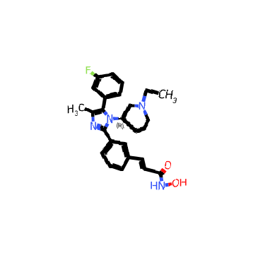 CCN1CCC[C@@H](n2c(-c3cccc(C=CC(=O)NO)c3)nc(C)c2-c2cccc(F)c2)C1